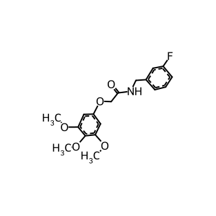 COc1cc(OCC(=O)NCc2cccc(F)c2)cc(OC)c1OC